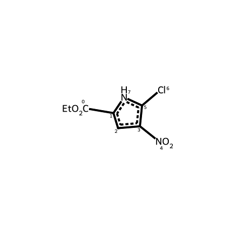 CCOC(=O)c1cc([N+](=O)[O-])c(Cl)[nH]1